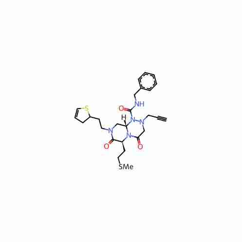 C#CCN1CC(=O)N2[C@@H](CCSC)C(=O)N(CCC3CC=CS3)C[C@@H]2N1C(=O)NCc1ccccc1